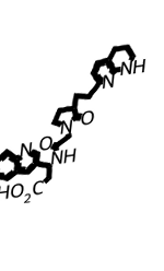 O=C(O)CC(NC(=O)CN1CCC(CCc2ccc3c(n2)NCCC3)C1=O)c1cnc2ccccc2c1